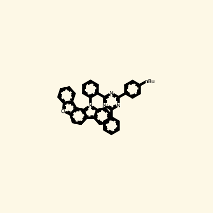 CCCCc1ccc(-c2nc(-c3ccccc3)nc(-c3ccccc3-n3c4ccccc4c4ccc5oc6ccccc6c5c43)n2)cc1